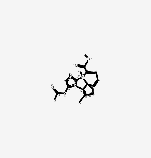 COC(=O)C1=CC=CC23CC=CC(C)=C2n2c(SC(C)=O)cnc2[N+]13C